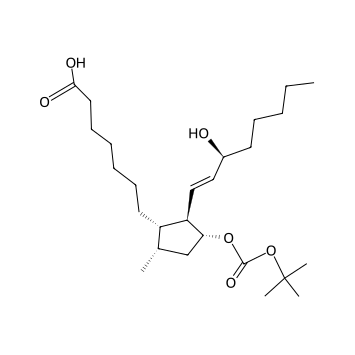 CCCCC[C@H](O)/C=C/[C@@H]1[C@@H](CCCCCCC(=O)O)[C@@H](C)C[C@H]1OC(=O)OC(C)(C)C